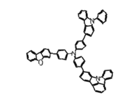 c1ccc(-n2c3ccccc3c3cc(-c4ccc(N(c5ccc(-c6ccc7c(c6)oc6ccccc67)cc5)c5ccc(-c6ccc7c8cccc9c%10ccccc%10n(c7c6)c98)cc5)cc4)ccc32)cc1